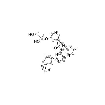 O=C(Nc1cncc(OCC(O)CO)c1)N1c2nc(-c3cccc(C(F)(F)F)c3)ncc2N2CCC[C@H]1C2